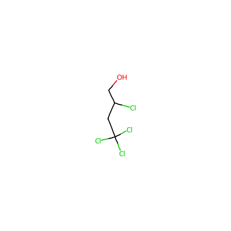 OCC(Cl)CC(Cl)(Cl)Cl